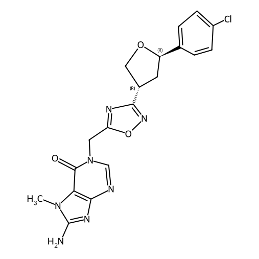 Cn1c(N)nc2ncn(Cc3nc([C@@H]4CO[C@@H](c5ccc(Cl)cc5)C4)no3)c(=O)c21